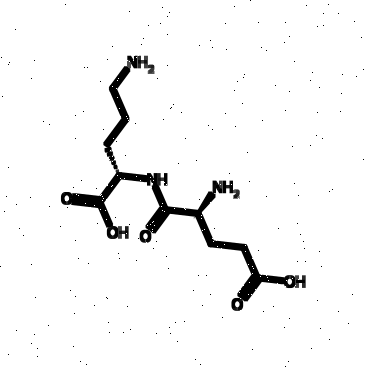 NCCC[C@H](NC(=O)[C@@H](N)CCC(=O)O)C(=O)O